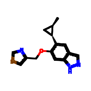 C[C@@H]1C[C@H]1c1cc2cn[nH]c2cc1OCc1cscn1